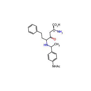 CC(=O)Nc1ccc(C(C)NC(CCc2ccccc2)C(=O)C[C@H](N)C(=O)O)cc1